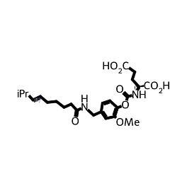 COc1cc(CNC(=O)CCCC/C=C/C(C)C)ccc1OC(=O)N[C@@H](CCC(=O)O)C(=O)O